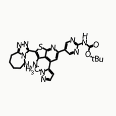 Cn1nccc1-c1cc(-c2cnc(NC(=O)OC(C)(C)C)nc2)nc2sc(-c3nnc4n3CCCCC4)c(N)c12